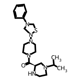 CC(C)N1CCN[C@@H](C(=O)N2CCN(N3CN(c4ccccc4)CS3)CC2)C1